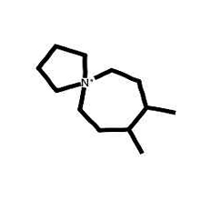 CC1CC[N+]2(CCCC2)CCC1C